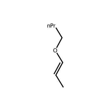 [CH2]CCCOC=CC